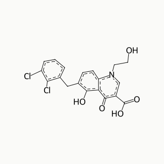 O=C(O)c1cn(CCO)c2ccc(Cc3cccc(Cl)c3Cl)c(O)c2c1=O